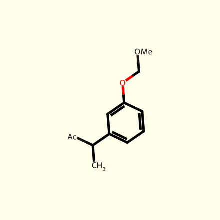 COCOc1cccc(C(C)C(C)=O)c1